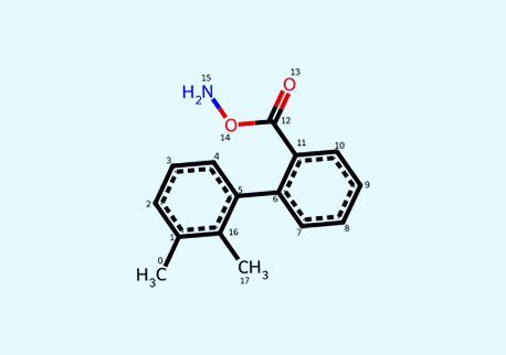 Cc1cccc(-c2ccccc2C(=O)ON)c1C